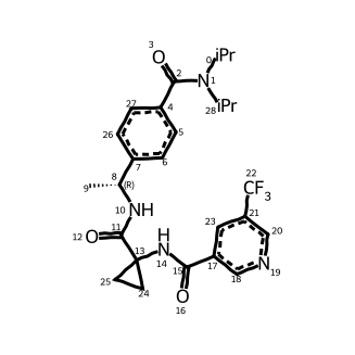 CC(C)N(C(=O)c1ccc([C@@H](C)NC(=O)C2(NC(=O)c3cncc(C(F)(F)F)c3)CC2)cc1)C(C)C